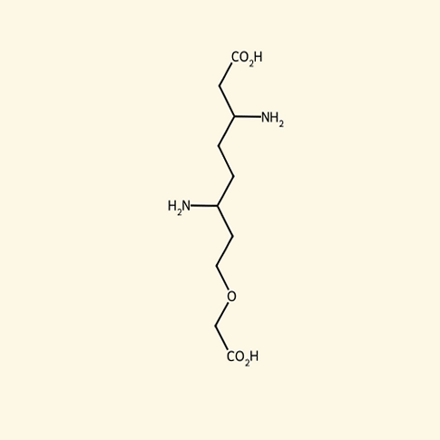 NC(CCOCC(=O)O)CCC(N)CC(=O)O